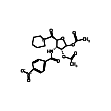 CC(=O)OC1O[C@H](C(=O)N2CCCCC2)[C@@H](NC(=O)c2ccc([N+](=O)[O-])cc2)[C@H]1OC(C)=O